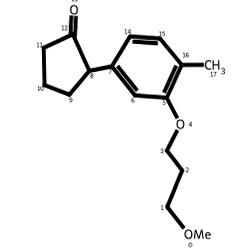 COCCCOc1cc(C2CCCC2=O)ccc1C